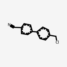 N#Cc1ccc(-c2ccc(CCl)cc2)cc1